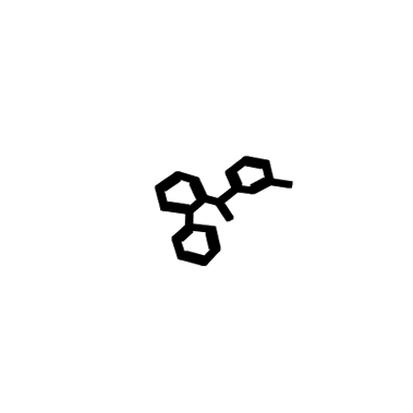 Cc1cccc(C(C)c2ccccc2-c2ccccc2)c1